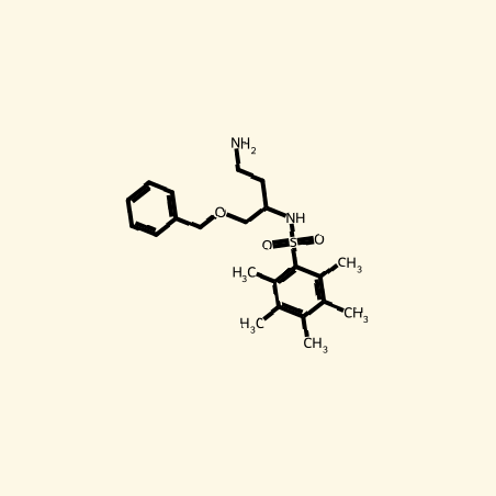 Cc1c(C)c(C)c(S(=O)(=O)NC(CCN)COCc2ccccc2)c(C)c1C